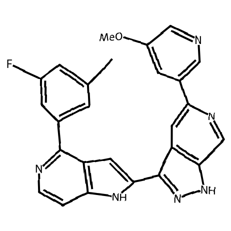 COc1cncc(-c2cc3c(-c4cc5c(-c6cc(C)cc(F)c6)nccc5[nH]4)n[nH]c3cn2)c1